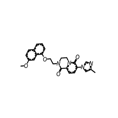 COc1ccc2cccc(OCCN3CCn4c(ccc(-n5cnc(C)c5)c4=O)C3=O)c2c1